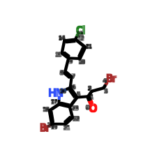 O=C(CCBr)c1c(C=Cc2ccc(Cl)cc2)[nH]c2cc(Br)ccc12